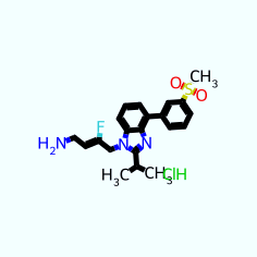 CC(C)c1nc2c(-c3cccc(S(C)(=O)=O)c3)cccc2n1C/C(F)=C/CN.Cl